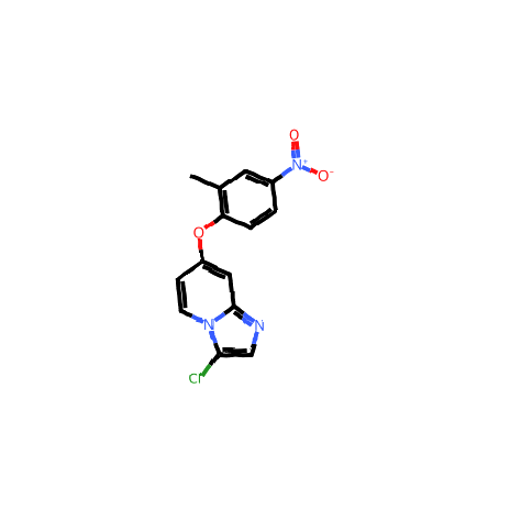 Cc1cc([N+](=O)[O-])ccc1Oc1ccn2c(Cl)cnc2c1